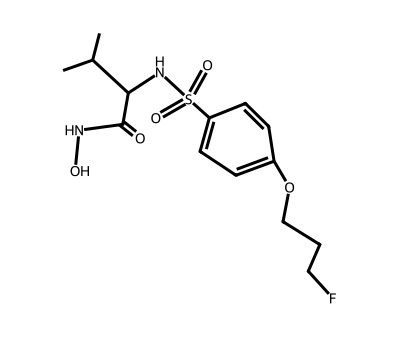 CC(C)C(NS(=O)(=O)c1ccc(OCCCF)cc1)C(=O)NO